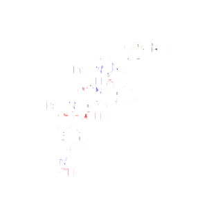 CC(C)CN(C[C@@H](O)[C@H](Cc1ccccc1)NC(=O)C(C(C)C)N1CCN(Cc2csc([N+](=O)[O-])c2)C1=O)S(=O)(=O)c1ccc(C=NO)cc1